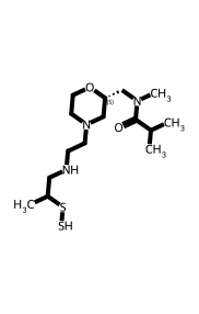 CC(CNCCN1CCO[C@H](CN(C)C(=O)C(C)C)C1)SS